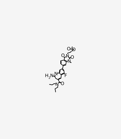 CCCN(CCC)C(=O)C1=Cc2c(F)cc(-c3ccc4c(=O)n(CCS(C)(=O)=O)c(=O)n(C)c4c3)cc2N=C(N)C1